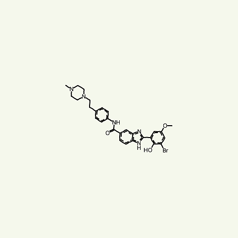 COc1cc(Br)c(O)c(-c2nc3cc(C(=O)Nc4ccc(CCN5CCN(C)CC5)cc4)ccc3[nH]2)c1